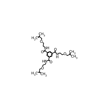 C=C(C)COCCNC(=O)c1cc(C(=O)NCCOCC(=C)C)cc(C(=O)NCCOCC(=C)C)c1